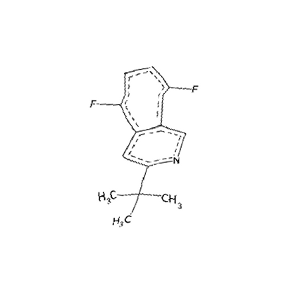 CC(C)(C)c1cc2c(F)ccc(F)c2cn1